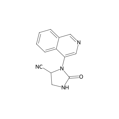 N#CC1CNC(=O)N1c1cncc2ccccc12